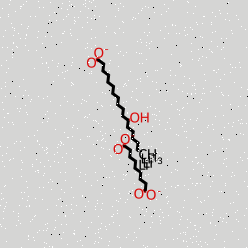 CCCCCCC(O)CCCCCCCCCCC(=O)[O-].O=C([O-])CCCCCCCC(=O)[O-].[Li+].[Li+].[Li+]